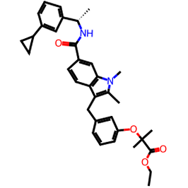 CCOC(=O)C(C)(C)Oc1cccc(Cc2c(C)n(C)c3cc(C(=O)N[C@@H](C)c4cccc(C5CC5)c4)ccc23)c1